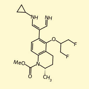 COC(=O)N1c2ccc(/C(C=N)=C/NC3CC3)c(OC(CF)CF)c2CC[C@@H]1C